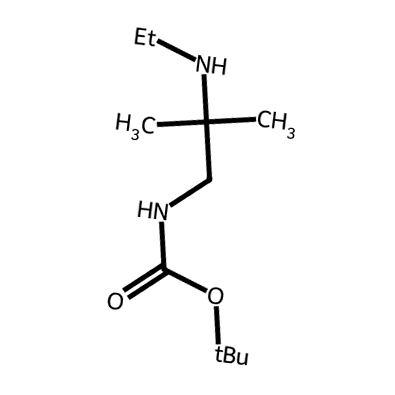 CCNC(C)(C)CNC(=O)OC(C)(C)C